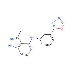 Cc1n[nH]c2ccnc(Nc3cccc(-c4nnco4)c3)c12